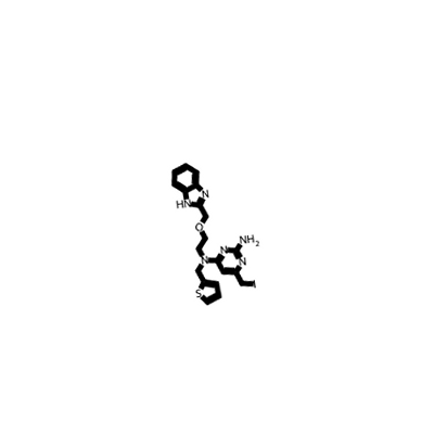 Nc1nc(CI)cc(N(CCOCc2nc3ccccc3[nH]2)Cc2cccs2)n1